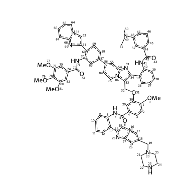 COc1ccc(C(=O)Nc2ccccc2-c2cn3cc(CN4CCNCC4)sc3n2)cc1OCc1c(-c2ccccc2NC(=O)c2cccc(N(C)C)c2)nc2cc(-c3ccc(-c4cn5ccccc5n4)c(NC(=O)c4cc(OC)c(OC)c(OC)c4)c3)ccn12